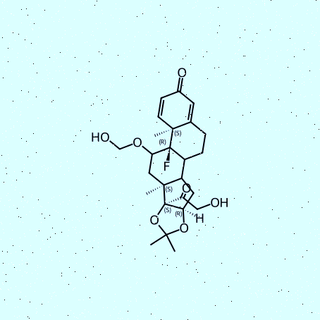 CC1(C)O[C@@H]2CC3C4CCC5=CC(=O)C=C[C@]5(C)[C@@]4(F)C(OCO)C[C@]3(C)[C@]2(C(=O)CO)O1